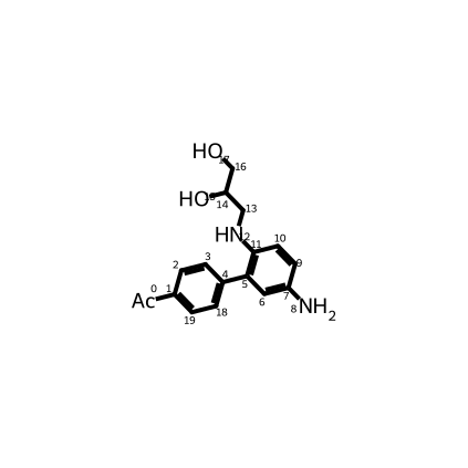 CC(=O)c1ccc(-c2cc(N)ccc2NCC(O)CO)cc1